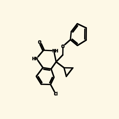 O=C1Nc2ccc(Cl)cc2C(COc2ccccc2)(C2CC2)N1